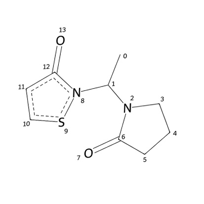 CC(N1CCCC1=O)n1sccc1=O